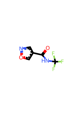 O=C(NC(F)(F)F)c1cnoc1